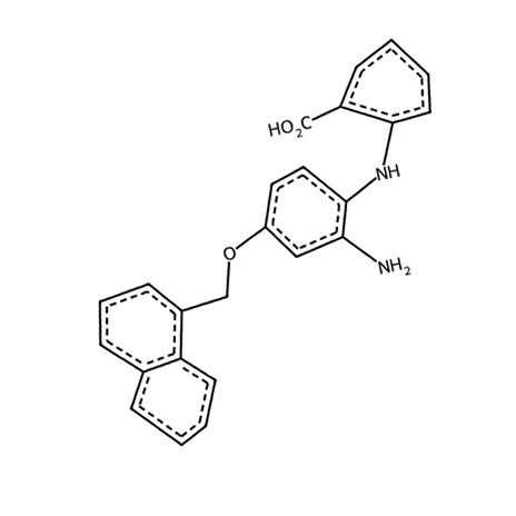 Nc1cc(OCc2cccc3ccccc23)ccc1Nc1ccccc1C(=O)O